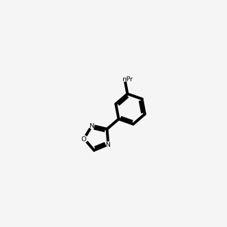 CCCc1cccc(-c2ncon2)c1